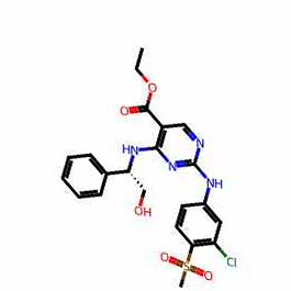 CCOC(=O)c1cnc(Nc2ccc(S(C)(=O)=O)c(Cl)c2)nc1N[C@H](CO)c1ccccc1